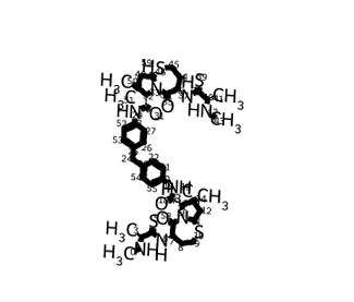 CN[C@@H](C)C(=S)N[C@H]1CCSC2CC(C)(C)[C@@H](C(=O)Nc3ccc(Cc4ccc(NC(=O)[C@H]5N6C(=O)[C@@H](NC(=S)[C@H](C)NC)CCS[C@H]6CC5(C)C)cc4)cc3)N2C1=O